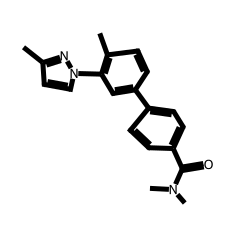 Cc1ccn(-c2cc(-c3ccc(C(=O)N(C)C)cc3)ccc2C)n1